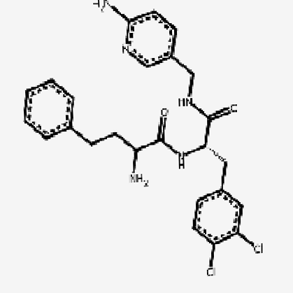 Nc1ccc(CNC(=O)[C@H](Cc2ccc(Cl)c(Cl)c2)NC(=O)C(N)CCc2ccccc2)cn1